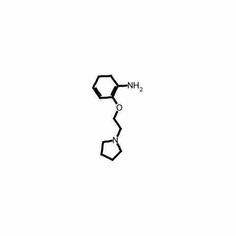 NC1=C(OCCN2CCCC2)C=CCC1